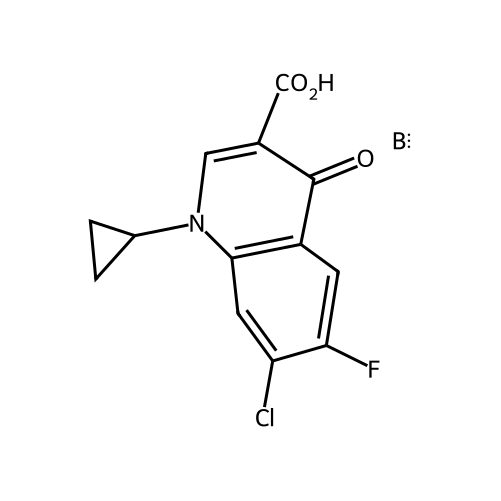 O=C(O)c1cn(C2CC2)c2cc(Cl)c(F)cc2c1=O.[B]